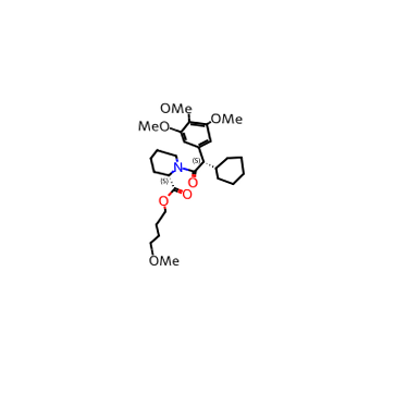 COCCCCOC(=O)[C@@H]1CCCCN1C(=O)[C@H](c1cc(OC)c(OC)c(OC)c1)C1CCCCC1